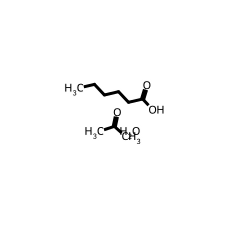 CC(C)=O.CCCCCC(=O)O.O